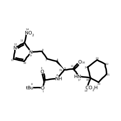 CC(C)(C)OC(=O)N[C@@H](CCCn1ccnc1[N+](=O)[O-])C(=O)NC1(C(=O)O)CCCCC1